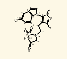 Cc1nn(C)c(-n2ccc3cc(Cl)ccc32)c1CCN1CC(=O)NS1(=O)=O